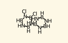 B1NBNBN1.ClB1NBNBN1Cl